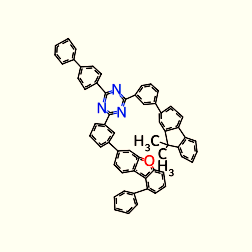 CC1(C)c2ccccc2-c2ccc(-c3cccc(-c4nc(-c5ccc(-c6ccccc6)cc5)nc(-c5cccc(-c6ccc7c(c6)oc6cccc(-c8ccccc8)c67)c5)n4)c3)cc21